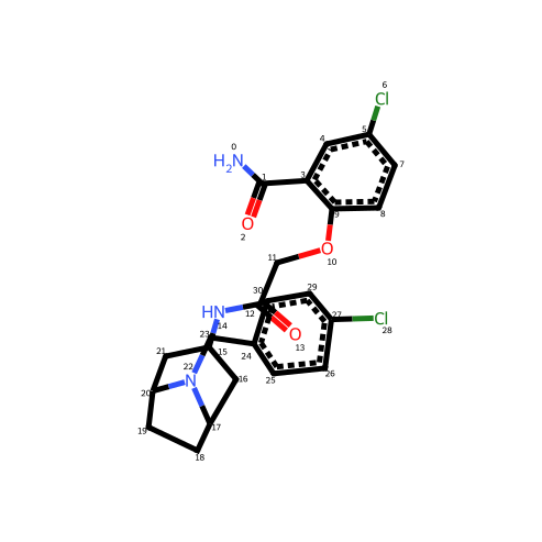 NC(=O)c1cc(Cl)ccc1OCC(=O)NC1CC2CCC(C1)N2Cc1ccc(Cl)cc1